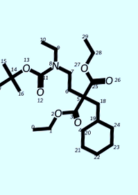 CCOC(=O)C(CCN(CC)C(=O)OC(C)(C)C)(CC1CCCCC1)C(=O)OCC